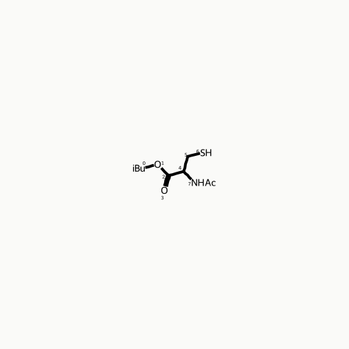 CCC(C)OC(=O)C(CS)NC(C)=O